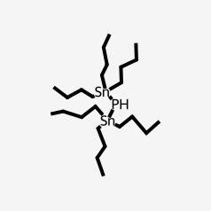 CCC[CH2][Sn]([CH2]CCC)([CH2]CCC)[PH][Sn]([CH2]CCC)([CH2]CCC)[CH2]CCC